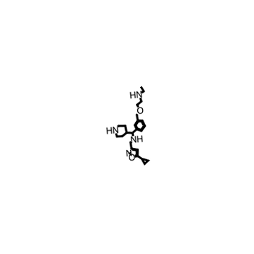 CCNCCOCc1cccc(C(NCc2cc(C3CC3)on2)C2CCNCC2)c1